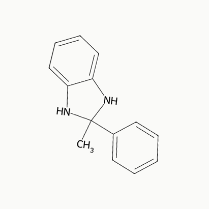 CC1(c2ccccc2)Nc2ccccc2N1